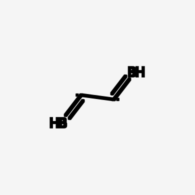 B=[C][C]=B